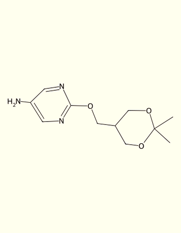 CC1(C)OCC(COc2ncc(N)cn2)CO1